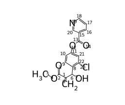 C=C(C(=O)OC)C(O)c1ccc(OC(=O)c2cccnc2)cc1Cl